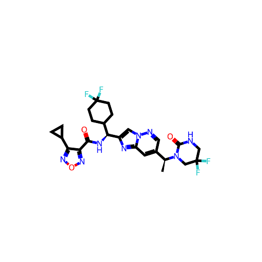 C[C@@H](c1cnn2cc([C@@H](NC(=O)c3nonc3C3CC3)C3CCC(F)(F)CC3)nc2c1)N1CC(F)(F)CNC1=O